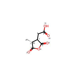 C[C@H]1C(=O)OC(=O)C1CC(=O)O